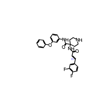 O=C(/C=C/c1ccc(F)c(F)c1)NC1(C(=O)Nc2cccc(Oc3ccccc3)c2)CCNCC1